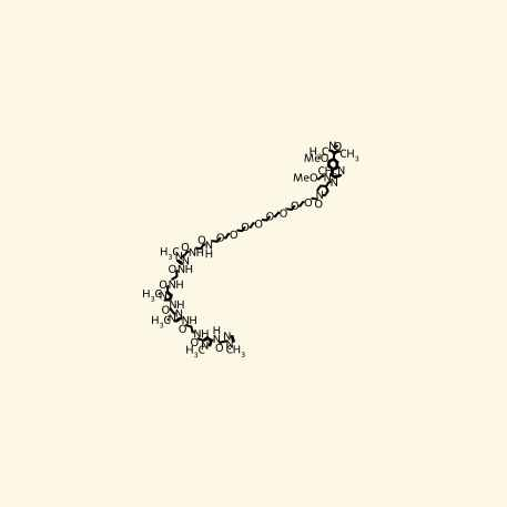 COC[C@@H](C)n1c(C2CCN(C(=O)COCCOCCOCCOCCOCCOCCOCCOCCNC(=O)CCNC(=O)c3nc(NC(=O)CCNC(=O)c4cc(NC(=O)c5nc(NC(=O)CCNC(=O)c6cc(NC(=O)c7nccn7C)cn6C)cn5C)cn4C)cn3C)CC2)nc2cnc3cc(-c4c(C)noc4C)c(OC)cc3c21